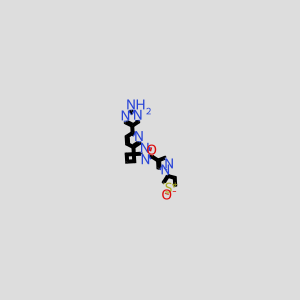 Nc1ncc(-c2ccc(C3(c4noc(-c5cnn(C6CC[S+]([O-])C6)c5)n4)CCC3)cn2)cn1